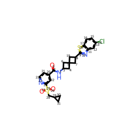 O=C(NC1CC2(C1)CC(c1nc3cc(Cl)ccc3s1)C2)c1ccnc(S(=O)(=O)CC2CC2)c1